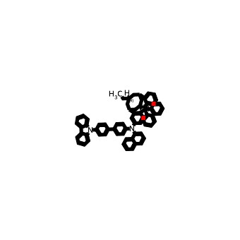 CC[C@@H]1CC2C[C@H](C)CC(C1)c1cc(N(c3ccc(-c4ccc(-n5c6ccccc6c6ccccc65)cc4)cc3)c3cccc4ccccc34)ccc1C(c1ccccc1)(c1ccccc1)c1ccccc12